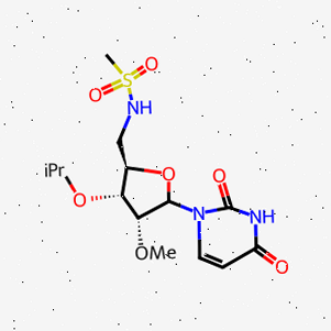 CO[C@H]1C(n2ccc(=O)[nH]c2=O)O[C@H](CNS(C)(=O)=O)[C@H]1OC(C)C